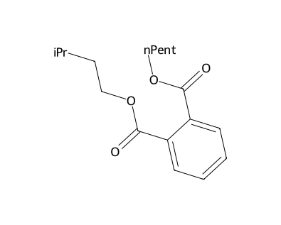 CCCCCOC(=O)c1ccccc1C(=O)OCCC(C)C